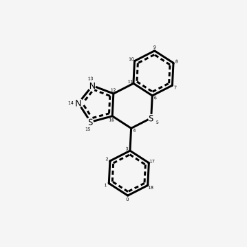 c1ccc(C2Sc3ccccc3-c3nnsc32)cc1